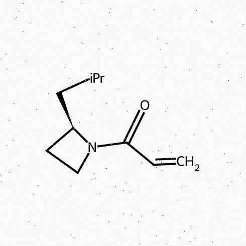 C=CC(=O)N1CC[C@H]1CC(C)C